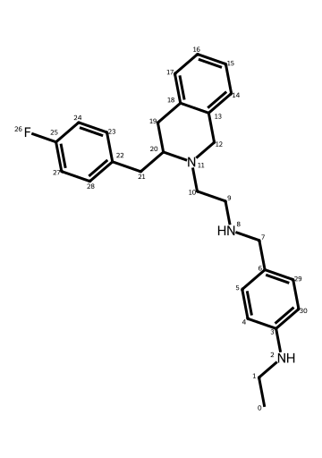 CCNc1ccc(CNCCN2Cc3ccccc3CC2Cc2ccc(F)cc2)cc1